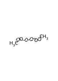 Cc1cccc(OCc2ccc(-c3ccc(COc4cccc(C)c4)cc3)cc2)c1